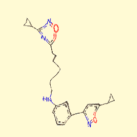 c1cc(NCCCCCc2nc(C3CC3)no2)cc(-c2cc(C3CC3)on2)c1